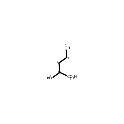 CCCC(CCO)C(=O)O